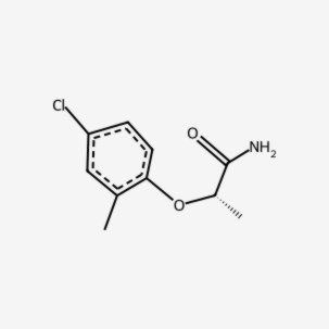 Cc1cc(Cl)ccc1O[C@@H](C)C(N)=O